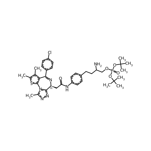 Cc1sc2c(c1C)C(c1ccc(Cl)cc1)=N[C@@H](CC(=O)Nc1ccc(CCC(N)COP(=O)(OC(C)(C)C)OC(C)(C)C)cc1)c1nnc(C)n1-2